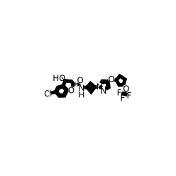 O=C(NC12CC(n3cc(OC4CCC(OC(F)(F)F)C4)cn3)(C1)C2)[C@H]1C[C@@H](O)c2cc(Cl)ccc2O1